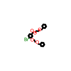 O=C(OCCOCc1ccccc1)c1ccc(Br)c(OCCOCc2ccccc2)c1